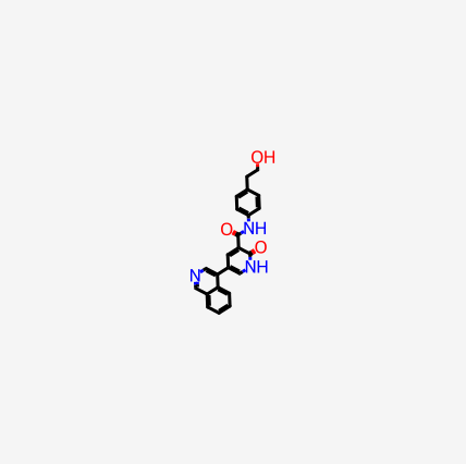 O=C(Nc1ccc(CCO)cc1)c1cc(-c2cncc3ccccc23)c[nH]c1=O